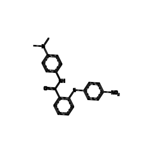 CN(C)c1ccc(NC(=O)c2ccccc2Sc2ccc([N+](=O)[O-])cc2)cc1